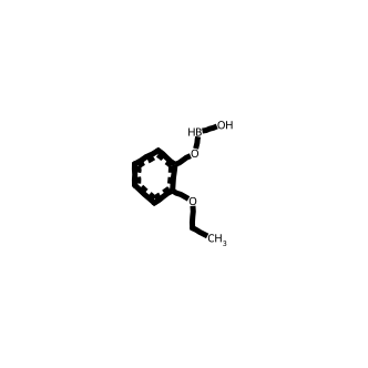 CCOc1ccccc1OBO